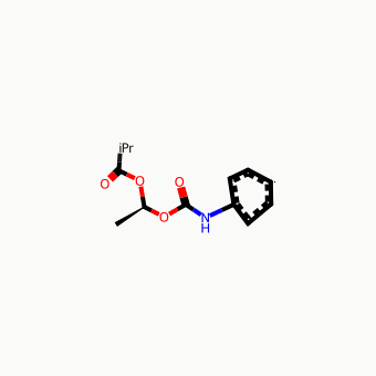 CC(C)C(=O)O[C@H](C)OC(=O)Nc1cc[c]cc1